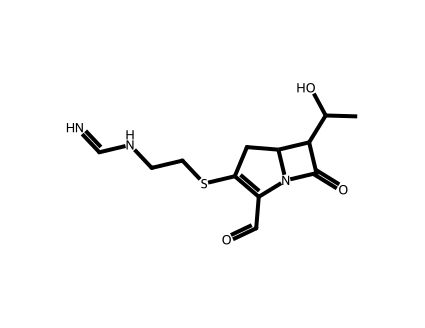 CC(O)C1C(=O)N2C(C=O)=C(SCCNC=N)CC12